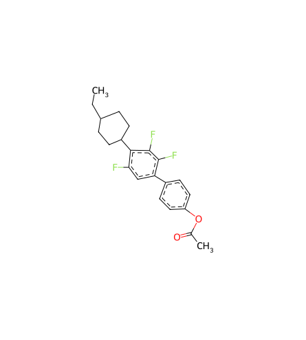 CCC1CCC(c2c(F)cc(-c3ccc(OC(C)=O)cc3)c(F)c2F)CC1